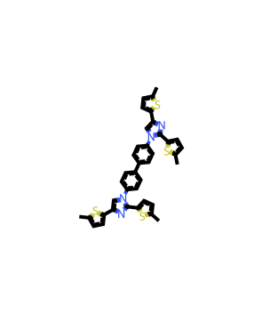 Cc1ccc(-c2cn(-c3ccc(-c4ccc(-n5cc(-c6ccc(C)s6)nc5-c5ccc(C)s5)cc4)cc3)c(-c3ccc(C)s3)n2)s1